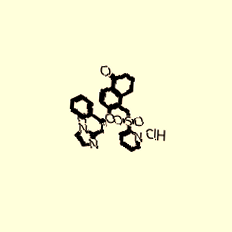 Cl.O=C1CCCc2c1ccc(O[C@@H](Cc1ncc[nH]1)c1ccccc1)c2CS(=O)(=O)c1ccccn1